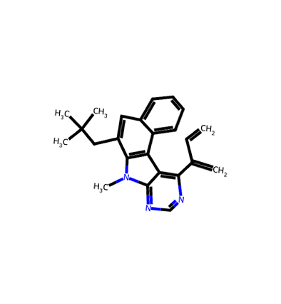 C=CC(=C)c1ncnc2c1c1c3ccccc3cc(CC(C)(C)C)c1n2C